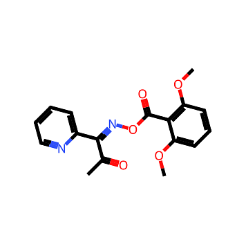 COc1cccc(OC)c1C(=O)O/N=C(\C(C)=O)c1ccccn1